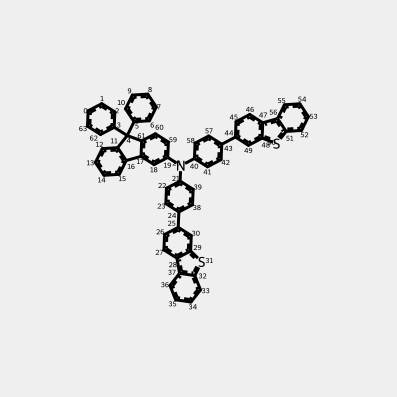 c1ccc(C2(c3ccccc3)c3ccccc3-c3cc(N(c4ccc(-c5ccc6c(c5)sc5ccccc56)cc4)c4ccc(-c5ccc6c(c5)sc5ccccc56)cc4)ccc32)cc1